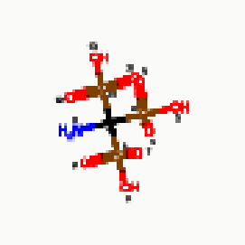 NC(S(=O)(=O)O)(S(=O)(=O)O)S(=O)(=O)O